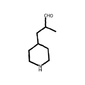 CC(C=O)CC1CCNCC1